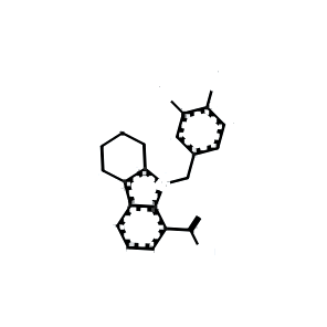 O=C(O)c1cccc2c3c(n(Cc4ccc(F)c(F)c4)c12)CCCC3